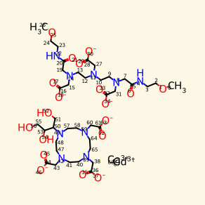 COCCNC(=O)CN(CCN(CCN(CC(=O)[O-])CC(=O)NCCOC)CC(=O)[O-])CC(=O)[O-].O=C([O-])CN1CCN(CC(=O)[O-])CCN(C(CO)C(O)CO)CCN(CC(=O)[O-])CC1.[Ga+3].[Gd+3]